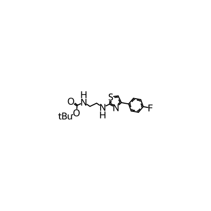 CC(C)(C)OC(=O)NCCNc1nc(-c2ccc(F)cc2)cs1